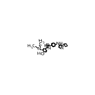 CCCN(CCC)Cc1cc(-c2noc(-c3ccc(Nc4ccnc(N5CCCC5)c4)cc3)n2)ccc1O